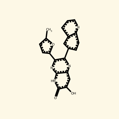 Cc1ccc(-c2nc3[nH]c(=O)c(O)cc3nc2-c2ccc3ncccc3c2)o1